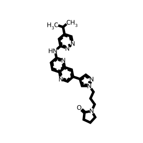 CC(C)c1cnnc(Nc2ccc3ncc(-c4cnn(CCCN5CCCC5=O)c4)cc3n2)c1